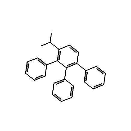 CC(C)c1ccc(-c2ccccc2)c(-c2ccccc2)c1-c1ccccc1